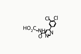 O=C(O)CNC(=O)c1cc(-c2ccc(Cl)c(Cl)c2)ncn1